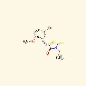 CCN1C(=O)/C(=C/c2cc(Br)ccc2OC)SC1=S